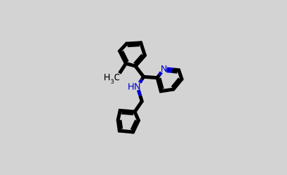 Cc1ccccc1C(NCc1ccccc1)c1ccccn1